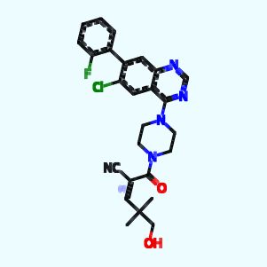 CC(C)(/C=C(/C#N)C(=O)N1CCN(c2ncnc3cc(-c4ccccc4F)c(Cl)cc23)CC1)CO